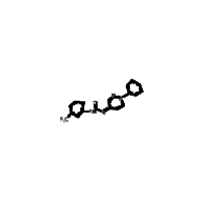 O=C(/N=c1/ccn(-c2ccccc2)nc1)Nc1cccc(C(F)(F)F)c1